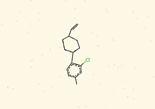 C=CC1CCC(c2ccc(C)cc2Cl)CC1